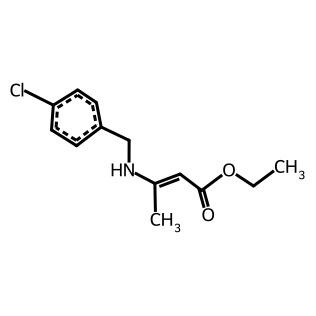 CCOC(=O)C=C(C)NCc1ccc(Cl)cc1